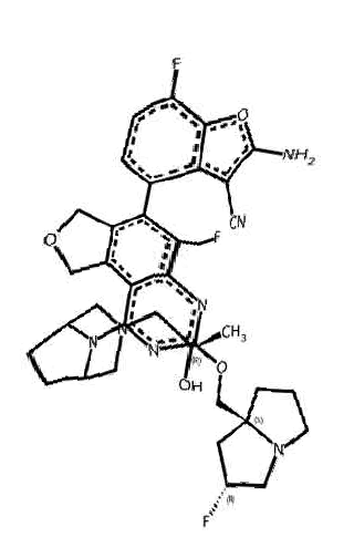 C[C@@H](O)CN1CC2CCC(C1)N2c1nc(OC[C@@]23CCCN2C[C@H](F)C3)nc2c(F)c(-c3ccc(F)c4oc(N)c(C#N)c34)c3c(c12)COC3